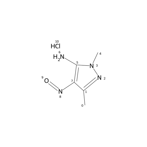 Cc1nn(C)c(N)c1N=O.Cl